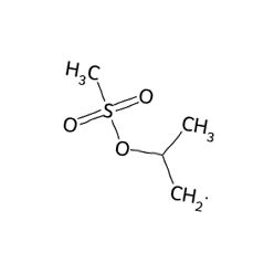 [CH2]C(C)OS(C)(=O)=O